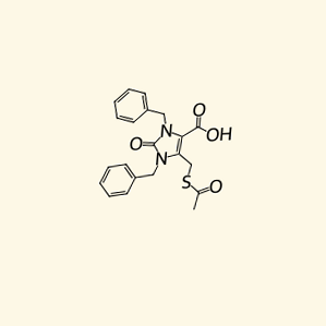 CC(=O)SCc1c(C(=O)O)n(Cc2ccccc2)c(=O)n1Cc1ccccc1